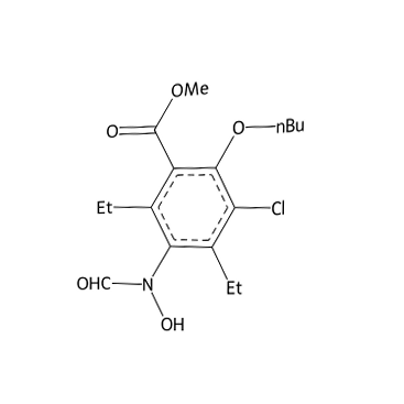 CCCCOc1c(Cl)c(CC)c(N(O)C=O)c(CC)c1C(=O)OC